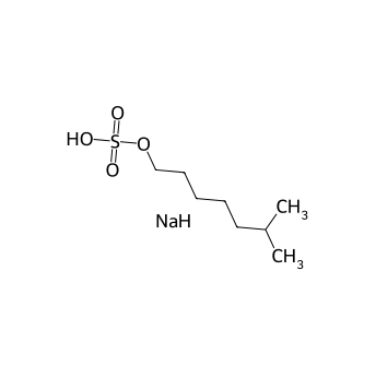 CC(C)CCCCCOS(=O)(=O)O.[NaH]